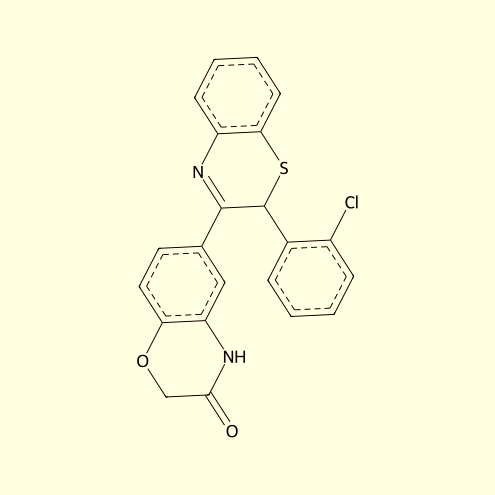 O=C1COc2ccc(C3=Nc4ccccc4SC3c3ccccc3Cl)cc2N1